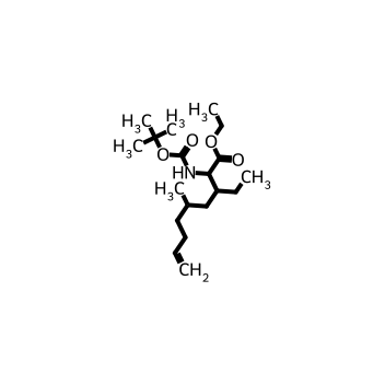 C=CCCC(C)CC(CC)C(NC(=O)OC(C)(C)C)C(=O)OCC